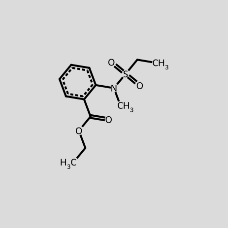 CCOC(=O)c1ccccc1N(C)S(=O)(=O)CC